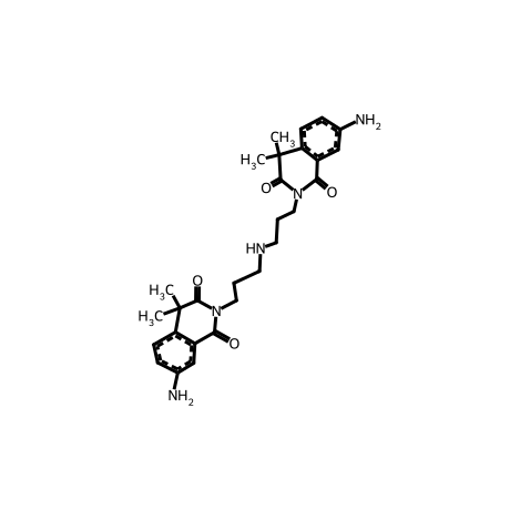 CC1(C)C(=O)N(CCCNCCCN2C(=O)c3cc(N)ccc3C(C)(C)C2=O)C(=O)c2cc(N)ccc21